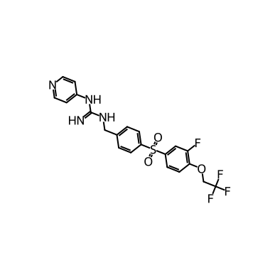 N=C(NCc1ccc(S(=O)(=O)c2ccc(OCC(F)(F)F)c(F)c2)cc1)Nc1ccncc1